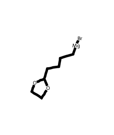 [Br][Mg][CH2]CCCC1OCCO1